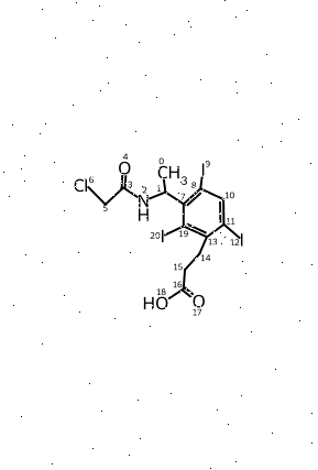 CC(NC(=O)CCl)c1c(I)cc(I)c(CCC(=O)O)c1I